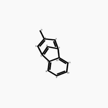 Cc1cc2[c]c(c1)-c1ccccc1-2